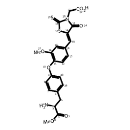 COC(=O)[C@@H](N)Cc1ccc(Oc2ccc(/C=C3\SC(=S)N(CC(=O)O)C3=O)cc2OC)cc1